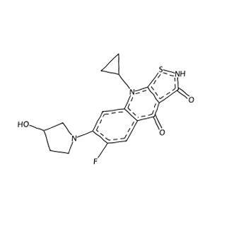 O=c1[nH]sc2c1c(=O)c1cc(F)c(N3CCC(O)C3)cc1n2C1CC1